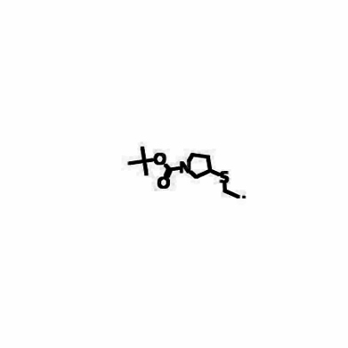 [CH2]CSC1CCN(C(=O)OC(C)(C)C)C1